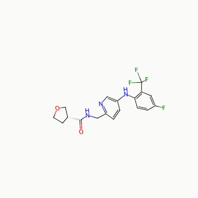 O=C(NCc1ccc(Nc2ccc(F)cc2C(F)(F)F)cn1)[C@@H]1CCOC1